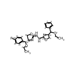 CCOC(c1ccccc1)C1COC(NNC2=N[C@H](C(OCC)c3ccc(F)cc3)CO2)=N1